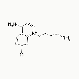 NCCCC[n+]1ccc(N)c2ccc(Cl)cc21